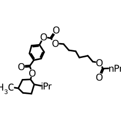 CCCC(=O)OCCCCCCOC(=O)Oc1ccc(C(=O)OC2CC(C)CCC2C(C)C)cc1